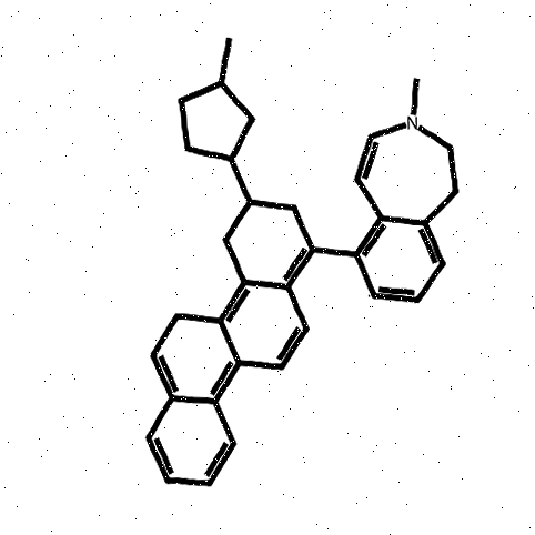 CC1CCC(C2CC(c3[c]ccc4c3C=CN(C)CC4)=c3ccc4c(c3C2)CC=c2ccccc2=4)C1